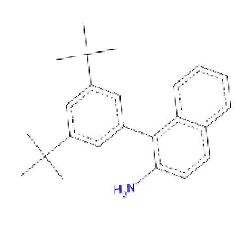 CC(C)(C)c1cc(-c2c(N)ccc3ccccc23)cc(C(C)(C)C)c1